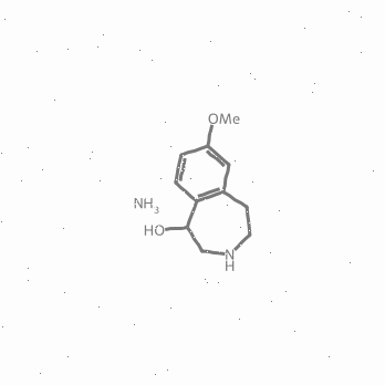 COc1ccc2c(c1)CCNCC2O.N